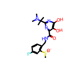 CN(C)C(C)(C)c1nc(O)c(O)c(C(=O)NCc2ccc(F)cc2[S+](C)[O-])n1